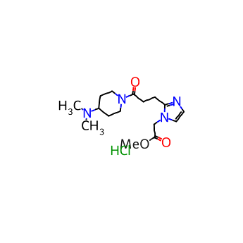 COC(=O)Cn1ccnc1CCC(=O)N1CCC(N(C)C)CC1.Cl